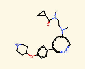 CN(CCN(C)c1ccn[nH]cc(-c2ccc(OC3CCNCC3)cc2)cc1)C(=O)C1CC1